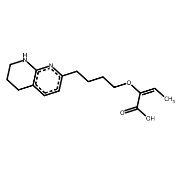 CC=C(OCCCCc1ccc2c(n1)NCCC2)C(=O)O